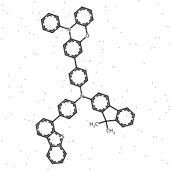 CC1(C)c2ccccc2-c2ccc(N(c3ccc(-c4ccc5c(c4)Oc4ccccc4N5c4ccccc4)cc3)c3ccc(-c4cccc5c4sc4ccccc45)cc3)cc21